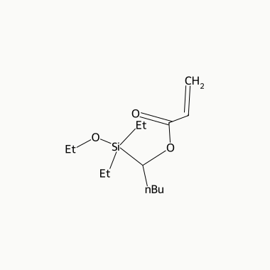 C=CC(=O)OC(CCCC)[Si](CC)(CC)OCC